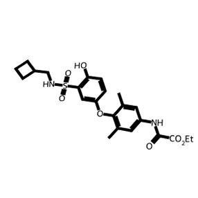 CCOC(=O)C(=O)Nc1cc(C)c(Oc2ccc(O)c(S(=O)(=O)NCC3CCC3)c2)c(C)c1